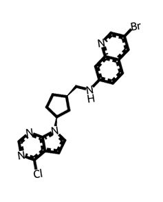 Clc1ncnc2c1ccn2[C@H]1CC[C@@H](CNc2ccc3cc(Br)cnc3c2)C1